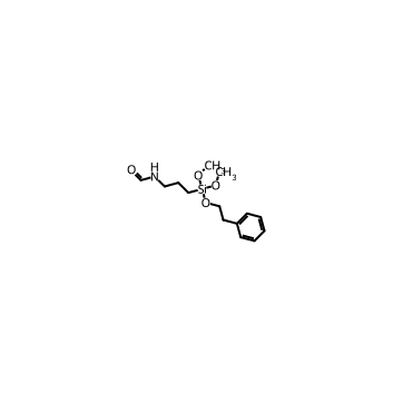 CO[Si](CCCNC=O)(OC)OCCc1ccccc1